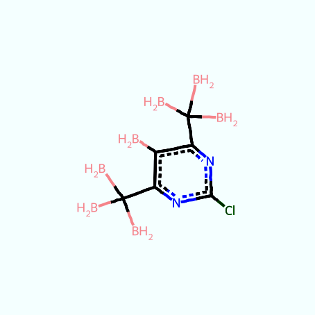 Bc1c(C(B)(B)B)nc(Cl)nc1C(B)(B)B